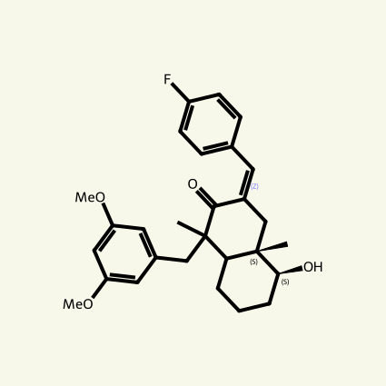 COc1cc(CC2(C)C(=O)/C(=C\c3ccc(F)cc3)C[C@@]3(C)C2CCC[C@@H]3O)cc(OC)c1